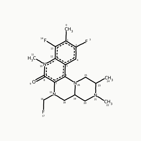 Cc1c(F)cc2c3c(c(=O)n(C)c2c1F)N(CF)CC1CN(C)C(C)CN31